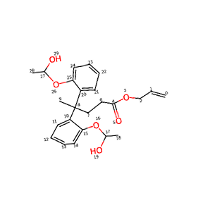 C=CCOC(=O)CCC(C)(c1ccccc1OC(C)O)c1ccccc1OC(C)O